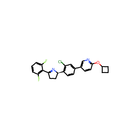 Fc1cccc(F)c1C1=N[C@@H](c2ccc(-c3ccc(OC4CCC4)nc3)cc2Cl)CC1